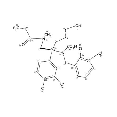 CN(C[C@](CCCO)(c1ccc(Cl)c(Cl)c1)N(Cc1cccc(Cl)c1Cl)C(=O)O)C(=O)CC(F)(F)F